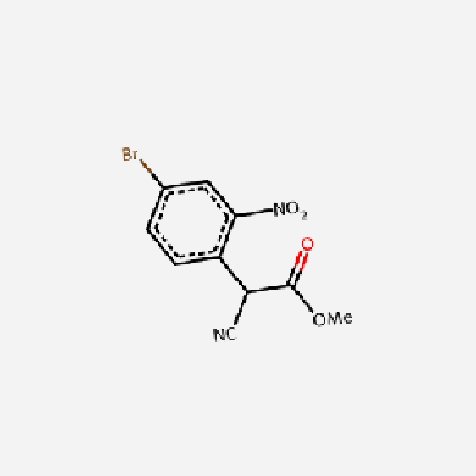 COC(=O)C(C#N)c1ccc(Br)cc1[N+](=O)[O-]